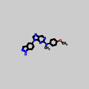 COc1ccc(N(C)c2ncc3ncn(-c4ccc5[nH]ncc5c4)c3n2)cc1